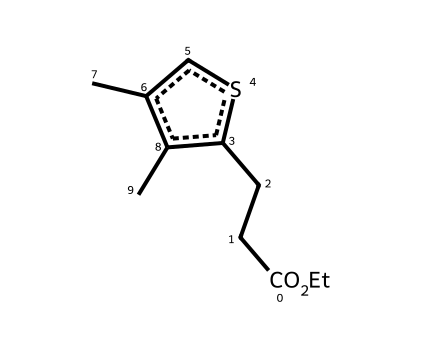 CCOC(=O)CCc1scc(C)c1C